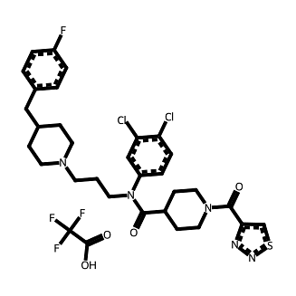 O=C(O)C(F)(F)F.O=C(c1csnn1)N1CCC(C(=O)N(CCCN2CCC(Cc3ccc(F)cc3)CC2)c2ccc(Cl)c(Cl)c2)CC1